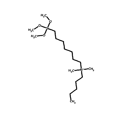 CCCCC[N+](C)(C)CCCCCCC[Si](OC)(OC)OC